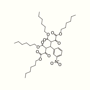 CCCCCCOC(=O)C(=O)C(C(=O)OCCCCCC)C(c1cccc([N+](=O)[O-])c1)C(C(=O)OCCCCCC)C(=O)C(=O)OCCCCCC